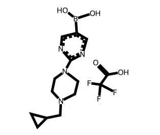 O=C(O)C(F)(F)F.OB(O)c1cnc(N2CCN(CC3CC3)CC2)nc1